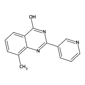 Cc1cccc2c(O)nc(-c3cccnc3)nc12